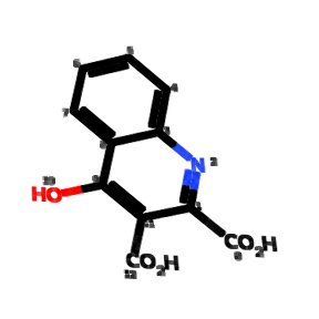 O=C(O)c1nc2ccccc2c(O)c1C(=O)O